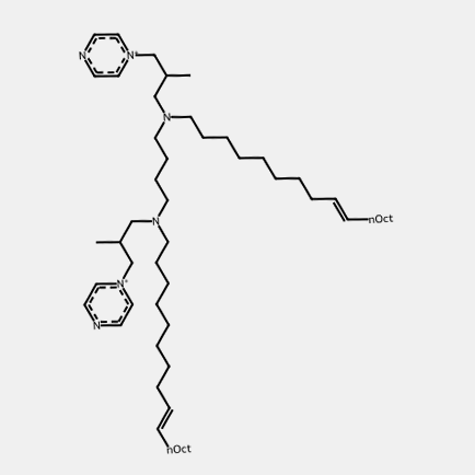 CCCCCCCC/C=C/CCCCCCCCN(CCCCN(CCCCCCCC/C=C/CCCCCCCC)CC(C)C[n+]1ccncc1)CC(C)C[n+]1ccncc1